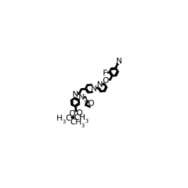 CC(C)(C)OC(=O)c1ccc2nc(CC3=CCN(c4cccc(OCc5ccc(C#N)cc5F)n4)CC3)n(C[C@@H]3CCO3)c2c1